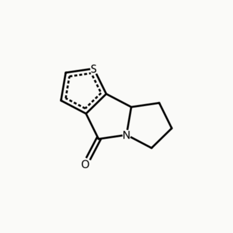 O=C1c2ccsc2C2CCCN12